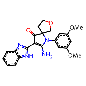 COc1cc(OC)cc(N2C(N)=C(c3nc4ccccc4[nH]3)C(=O)C23CCOC3)c1